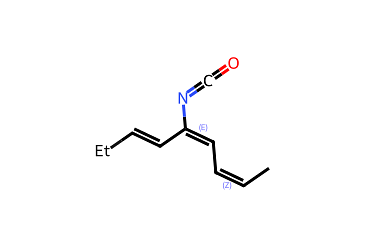 C/C=C\C=C(/C=CCC)N=C=O